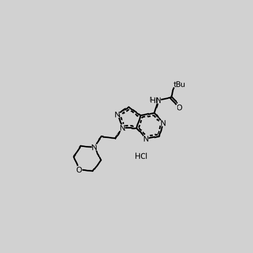 CC(C)(C)C(=O)Nc1ncnc2c1cnn2CCN1CCOCC1.Cl